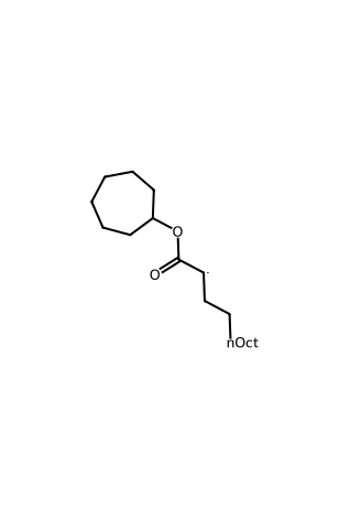 CCCCCCCCCC[CH]C(=O)OC1CCCCCC1